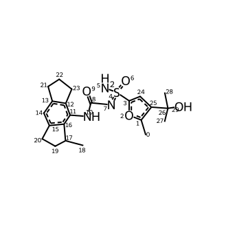 Cc1oc(S(N)(=O)=NC(=O)Nc2c3c(cc4c2C(C)CC4)CCC3)cc1C(C)(C)O